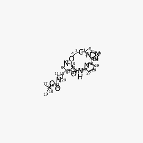 CC1CCCOc2ncc(C3CN(C(=O)OC(C)(C)C)C3)cc2C(=O)Nc2cccc(n2)-c2nncn21